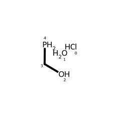 Cl.O.OCP